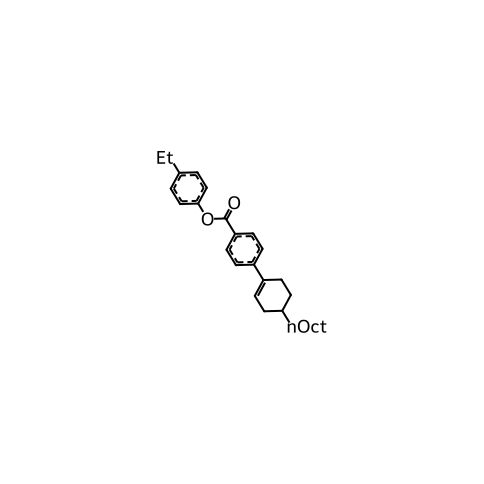 CCCCCCCCC1CC=C(c2ccc(C(=O)Oc3ccc(CC)cc3)cc2)CC1